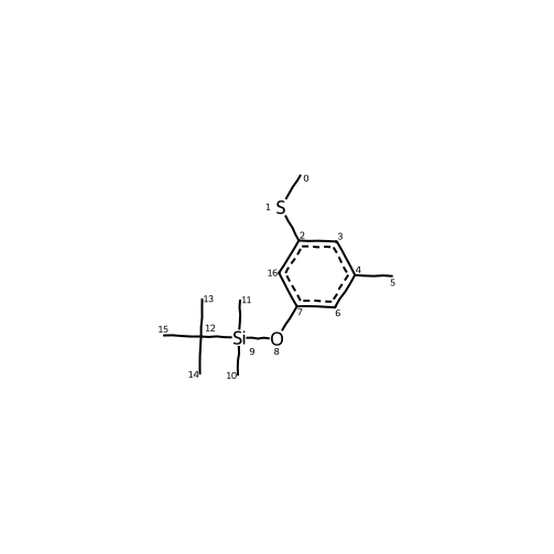 CSc1cc(C)cc(O[Si](C)(C)C(C)(C)C)c1